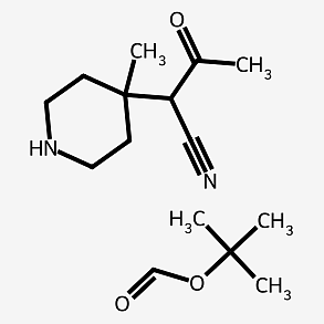 CC(=O)C(C#N)C1(C)CCNCC1.CC(C)(C)OC=O